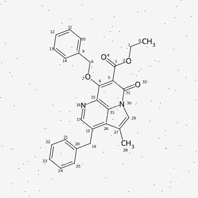 CCOC(=O)c1c(OCc2ccccc2)c2ncc(Cc3ccccc3)c3c(C)cn(c1=O)c23